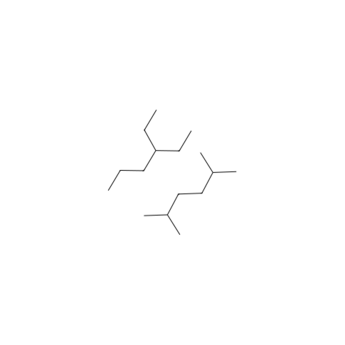 CC(C)CCC(C)C.CCCC(CC)CC